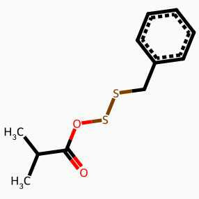 CC(C)C(=O)OSSCc1ccccc1